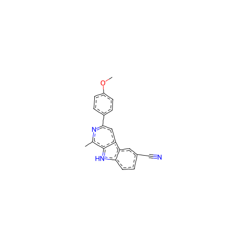 COc1ccc(-c2cc3c([nH]c4ccc(C#N)cc43)c(C)n2)cc1